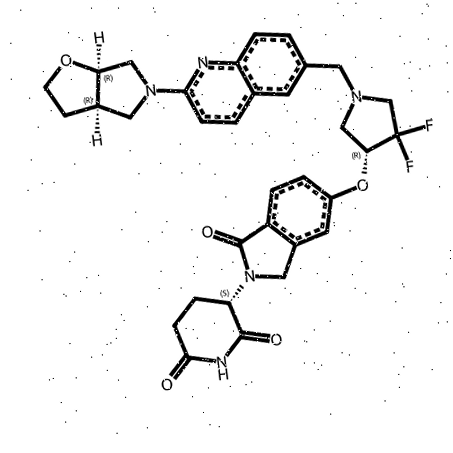 O=C1CC[C@H](N2Cc3cc(O[C@@H]4CN(Cc5ccc6nc(N7C[C@H]8CCO[C@H]8C7)ccc6c5)CC4(F)F)ccc3C2=O)C(=O)N1